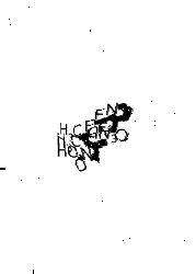 CC(C)(C)C1C(CNC(=O)c2cccnc2C(F)(F)F)CN1C(=O)O